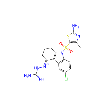 Cc1nc(N)sc1S(=O)(=O)n1c2c(c3cc(Cl)ccc31)/C(=N/NC(=N)N)CCC2